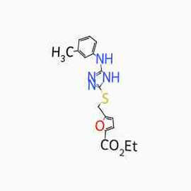 CCOC(=O)c1ccc(CSc2nnc(Nc3cccc(C)c3)[nH]2)o1